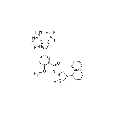 COc1ncc(-c2cc(C(F)(F)F)c3c(N)ncnn23)cc1C(=O)N[C@@H]1CN(C2CCCc3ccccc32)C[C@@H]1F